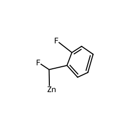 Fc1ccccc1[CH](F)[Zn]